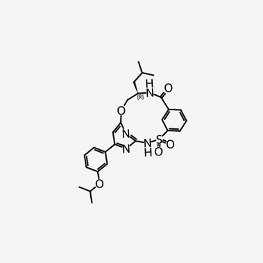 CC(C)C[C@@H]1COc2cc(-c3cccc(OC(C)C)c3)nc(n2)NS(=O)(=O)c2cccc(c2)C(=O)N1